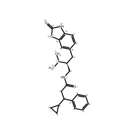 CN(C)[C@H](CNC(=O)CC(c1ccccc1)C1CC1)Cc1ccc2[nH]c(=O)oc2c1